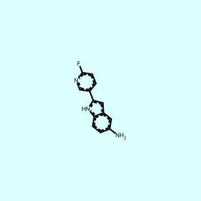 Nc1ccc2[nH]c(-c3ccc(F)nc3)cc2c1